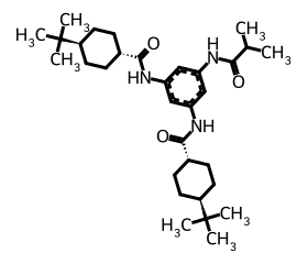 CC(C)C(=O)Nc1cc(NC(=O)[C@H]2CC[C@H](C(C)(C)C)CC2)cc(NC(=O)[C@H]2CC[C@H](C(C)(C)C)CC2)c1